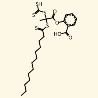 CCCCCCCCCCCCC(=S)SC(C)(SC(=S)S)C(=O)Oc1ccccc1C(=O)O